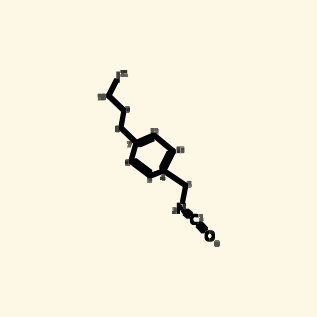 O=C=NCc1ccc(CCCI)cc1